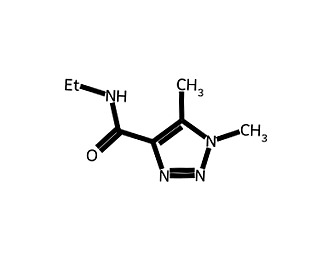 CCNC(=O)c1nnn(C)c1C